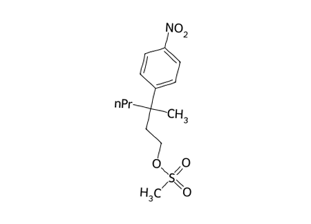 CCCC(C)(CCOS(C)(=O)=O)c1ccc([N+](=O)[O-])cc1